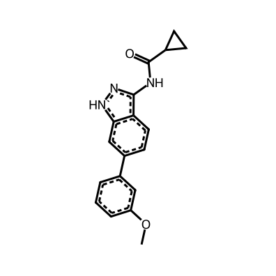 COc1cccc(-c2ccc3c(NC(=O)C4CC4)n[nH]c3c2)c1